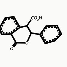 O=C1OC(c2ccccc2)C(C(=O)O)c2ccccc21